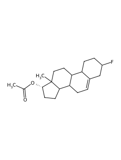 CC(=O)O[C@H]1CCC2C3CC=C4CC(F)CCC4C3CCC21C